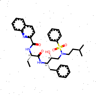 CC[C@H](NC(=O)c1ccc2ccccc2n1)C(=O)N[C@@H](Cc1ccccc1)[C@H](O)CN(CCC(C)C)S(=O)(=O)c1ccccc1